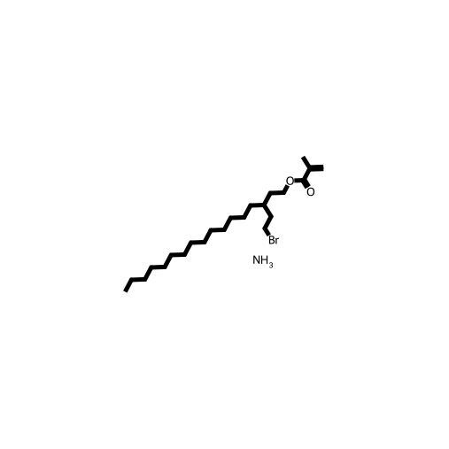 C=C(C)C(=O)OCCC(CCBr)CCCCCCCCCCCCCC.N